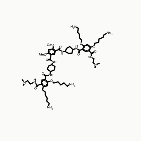 COc1cc(OC)c(C(=O)NC2CCC(NC(=O)c3cc(C(=O)NCCN(C)C)c(OCCCCCN)cc3OCCCCCN)CC2)cc1C(=O)NC1CCC(NC(=O)c2cc(C(=O)NCCN(C)C)c(CCCCCCN)cc2OCCCCCN)CC1